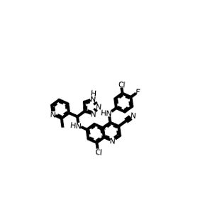 Cc1ncccc1C(Nc1cc(Cl)c2ncc(C#N)c(Nc3ccc(F)c(Cl)c3)c2c1)c1c[nH]nn1